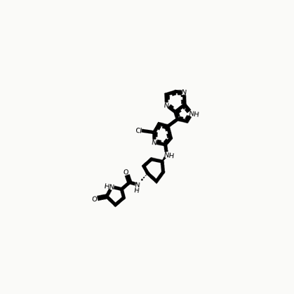 O=C1CCC(C(=O)N[C@H]2CC[C@H](Nc3cc(-c4c[nH]c5nccnc45)cc(Cl)n3)CC2)N1